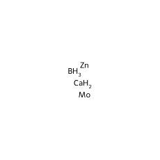 B.[CaH2].[Mo].[Zn]